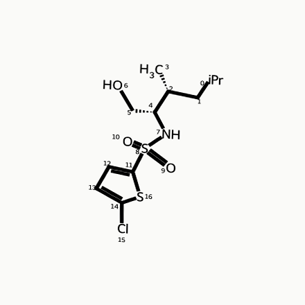 CC(C)C[C@@H](C)[C@@H](CO)NS(=O)(=O)c1ccc(Cl)s1